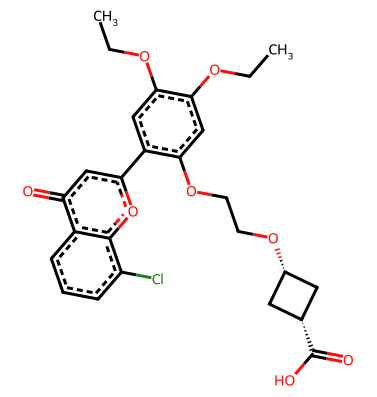 CCOc1cc(OCCO[C@H]2C[C@@H](C(=O)O)C2)c(-c2cc(=O)c3cccc(Cl)c3o2)cc1OCC